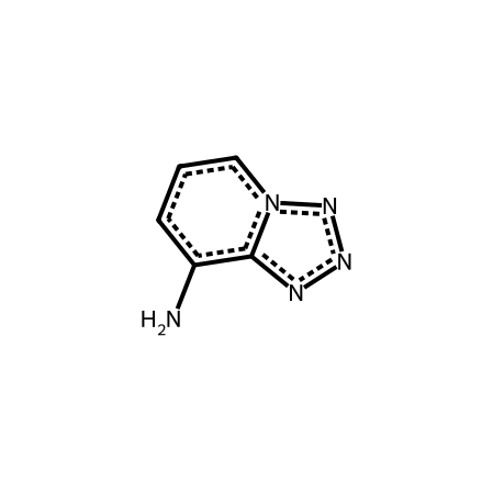 Nc1cccn2nnnc12